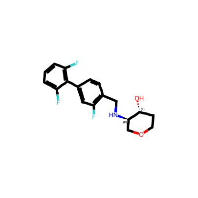 O[C@@H]1CCOC[C@H]1NCc1ccc(-c2c(F)cccc2F)cc1F